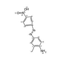 Cc1cc(/N=N/c2ccc([N+](=O)O)cc2)ccc1N